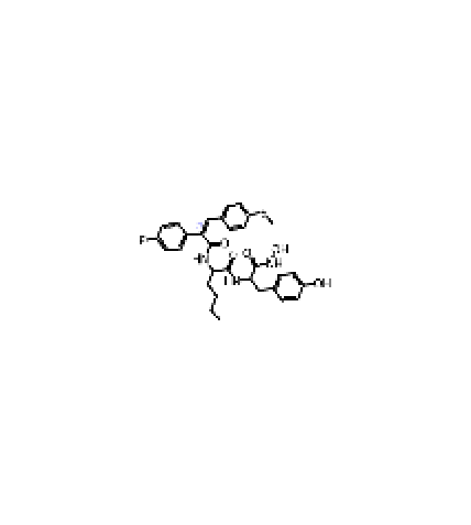 CCCCC(NC(=O)/C(=C\c1ccc(SC)cc1)c1ccc(F)cc1)C(=O)NC(Cc1ccc(O)cc1)C(=O)NO